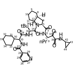 CCC[C@H](NC(=O)[C@@H]1C[C@@H]2CCCC[C@@H]2N1C(=O)[C@@H](NC(=O)C(NC(=O)c1cccnc1)C1CCCCC1)C(C)(C)C)C(=O)C(=O)NC1CC1